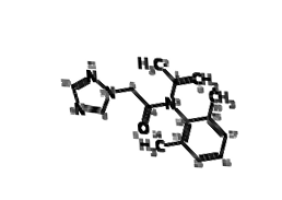 C=C(C)N(C(=O)Cn1cncn1)c1c(C)cccc1C